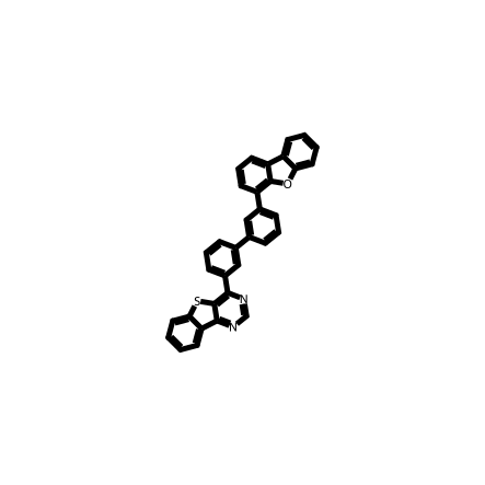 c1cc(-c2cccc(-c3ncnc4c3sc3ccccc34)c2)cc(-c2cccc3c2oc2ccccc23)c1